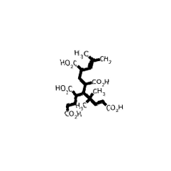 CC(C)=CC(CC(C(=O)O)C(C(CCC(=O)O)C(=O)O)C(C)(C)CCC(=O)O)C(=O)O